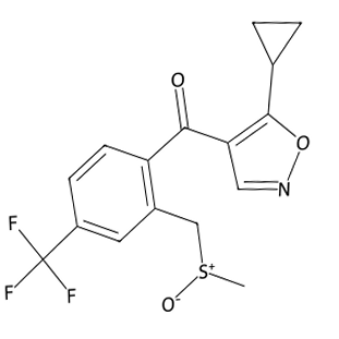 C[S+]([O-])Cc1cc(C(F)(F)F)ccc1C(=O)c1cnoc1C1CC1